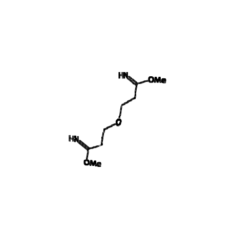 COC(=N)CCOCCC(=N)OC